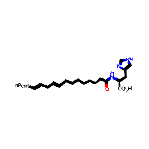 CCCCCC=CCC=CCCCCCCCC(=O)N[C@@H](Cc1c[nH]cn1)C(=O)O